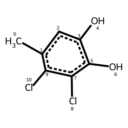 Cc1cc(O)c(O)c(Cl)c1Cl